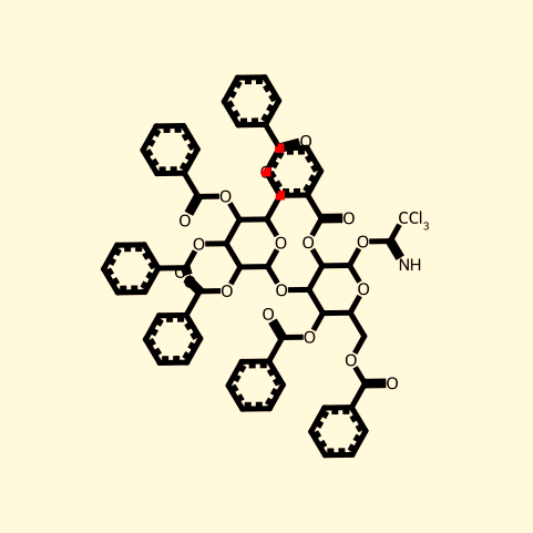 N=C(OC1OC(COC(=O)c2ccccc2)C(OC(=O)c2ccccc2)C(OC2OC(COC(=O)c3ccccc3)C(OC(=O)c3ccccc3)C(OC(=O)c3ccccc3)C2OC(=O)c2ccccc2)C1OC(=O)c1ccccc1)C(Cl)(Cl)Cl